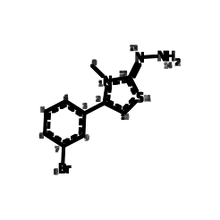 Cn1c(-c2cccc(Br)c2)csc1=NN